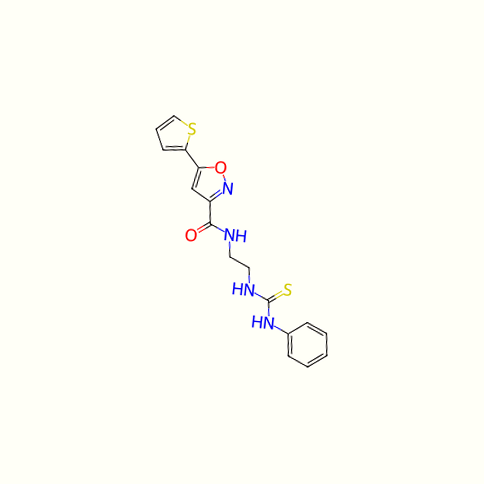 O=C(NCCNC(=S)Nc1ccccc1)c1cc(-c2cccs2)on1